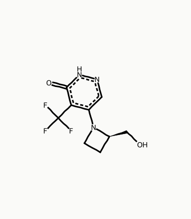 O=c1[nH]ncc(N2CC[C@@H]2CO)c1C(F)(F)F